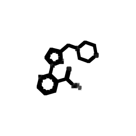 NC(=O)c1cccnc1-n1ccc(CN2CCOCC2)n1